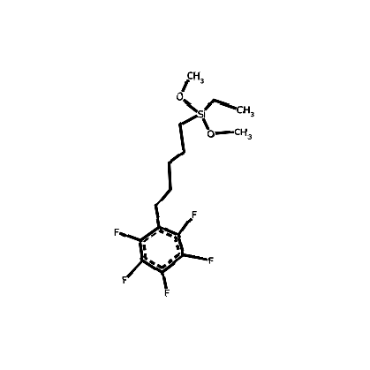 CC[Si](CCCCCc1c(F)c(F)c(F)c(F)c1F)(OC)OC